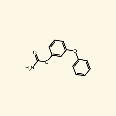 NC(=O)Oc1cccc(Oc2ccccc2)c1